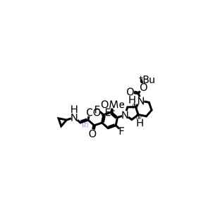 CCOC(=O)/C(=C\NC1CC1)C(=O)c1cc(F)c(N2C[C@@H]3CCCN(C(=O)OC(C)(C)C)[C@@H]3C2)c(OC)c1F